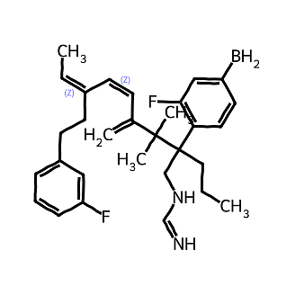 Bc1ccc(C(CCC)(CNC=N)C(C)(C)C(=C)/C=C\C(=C/C)CCc2cccc(F)c2)c(F)c1